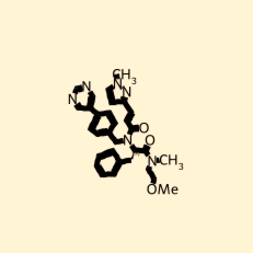 COCCN(C)C(=O)[C@H](Cc1ccccc1)N(Cc1ccc(-c2cncnc2)cc1)C(=O)C=Cc1ccn(C)n1